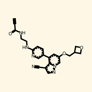 C#CC(=O)NCCNc1ccc(-c2cc(OCC3COC3)cn3ncc(C#N)c23)cn1